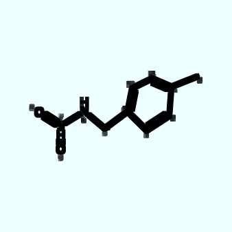 Cc1ccc([CH]N[SH](=O)=O)cc1